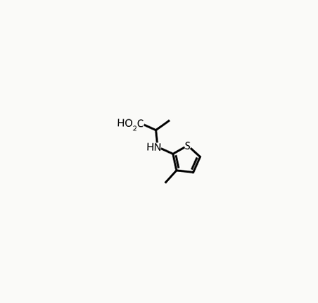 Cc1ccsc1NC(C)C(=O)O